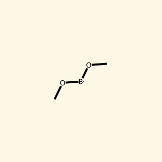 CO[B]OC